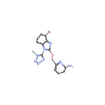 Cn1nnnc1-n1c(OCc2cccc(N)n2)nc2c(Br)cccc21